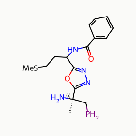 CSCCC(NC(=O)c1ccccc1)c1nnc([C@](C)(N)CP)o1